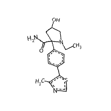 CCN1CC(O)CC1(C(N)=O)c1ccc(-c2scnc2C)cc1